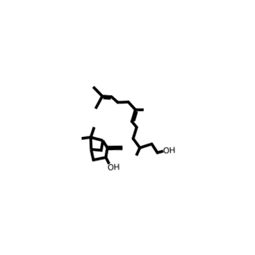 C=C1C(O)CC2CC1C2(C)C.CC(C)=CCCC(C)=CCCC(C)CCO